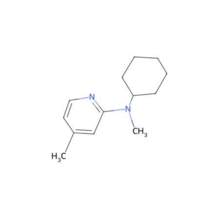 Cc1ccnc(N(C)C2CCCCC2)c1